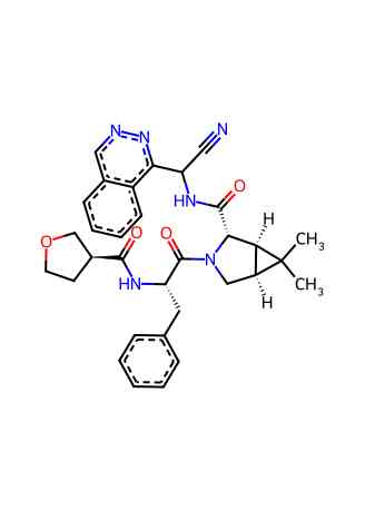 CC1(C)[C@@H]2[C@@H](C(=O)NC(C#N)c3nncc4ccccc34)N(C(=O)[C@H](Cc3ccccc3)NC(=O)[C@H]3CCOC3)C[C@@H]21